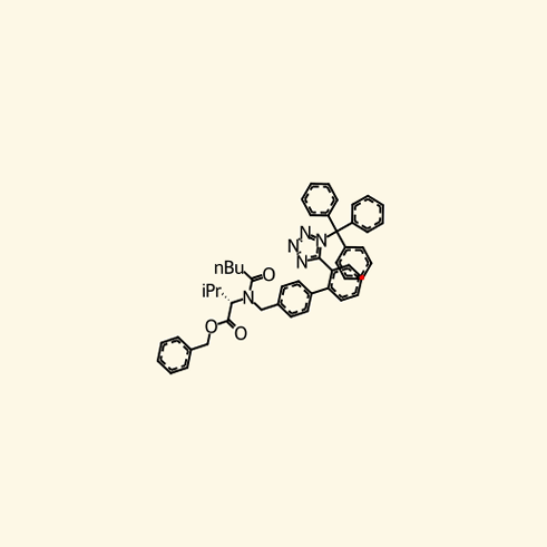 CCCCC(=O)N(Cc1ccc(-c2ccccc2-c2nnnn2C(c2ccccc2)(c2ccccc2)c2ccccc2)cc1)[C@H](C(=O)OCc1ccccc1)C(C)C